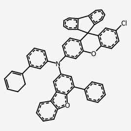 Clc1ccc2c(c1)C1(c3ccc(N(c4cccc(C5=CC=CCC5)c4)c4cc(-c5ccccc5)c5oc6ccccc6c5c4)cc3O2)c2ccccc2-c2ccccc21